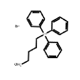 O=CCCCC[P+](c1ccccc1)(c1ccccc1)c1ccccc1.[Br-]